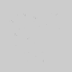 CC(C)(C)c1ccc(Nc2cc(NCc3ccccc3F)ncn2)cc1